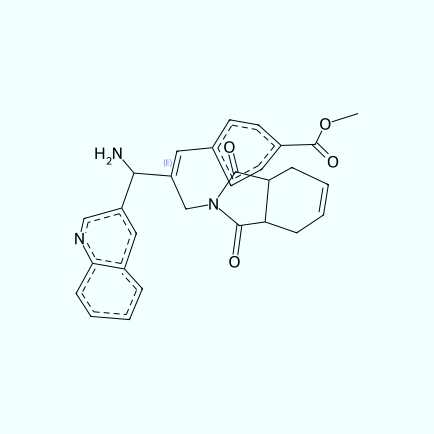 COC(=O)c1ccc(/C=C(\CN2C(=O)C3CC=CCC3C2=O)C(N)c2cnc3ccccc3c2)cc1